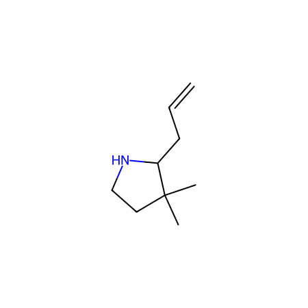 C=CCC1NCCC1(C)C